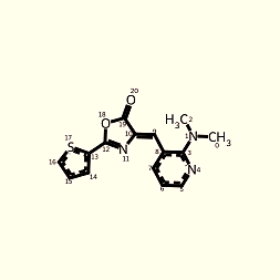 CN(C)c1ncccc1C=C1N=C(c2cccs2)OC1=O